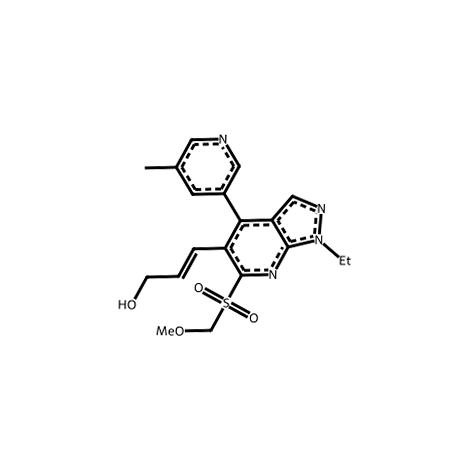 CCn1ncc2c(-c3cncc(C)c3)c(C=CCO)c(S(=O)(=O)COC)nc21